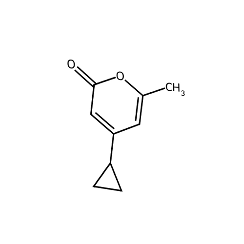 Cc1cc(C2CC2)cc(=O)o1